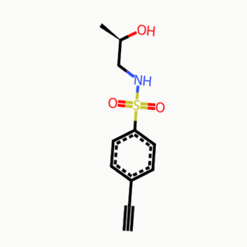 C#Cc1ccc(S(=O)(=O)NC[C@@H](C)O)cc1